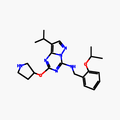 CC(C)Oc1ccccc1CNc1nc(OC2CCNC2)nc2c(C(C)C)cnn12